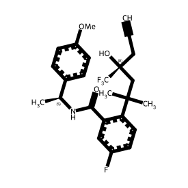 C#CC[C@@](O)(CC(C)(C)c1ccc(F)cc1C(=O)N[C@@H](C)c1ccc(OC)cc1)C(F)(F)F